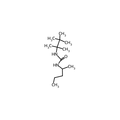 CCCC(C)NC(=O)NC(C)(C)C(C)(C)C